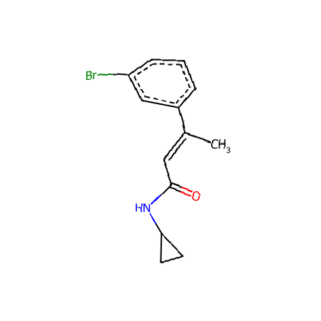 C/C(=C\C(=O)NC1CC1)c1cccc(Br)c1